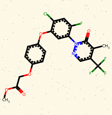 COC(=O)COc1ccc(Oc2cc(-n3ncc(C(F)(F)F)c(C)c3=O)c(F)cc2Cl)cc1